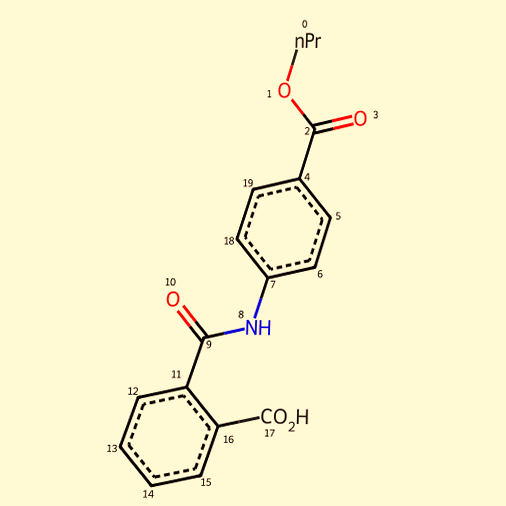 CCCOC(=O)c1ccc(NC(=O)c2ccccc2C(=O)O)cc1